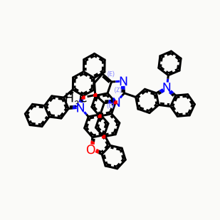 CC1C/C=C(c2ccc3ccccc3c2)/N=C(c2ccc3c4ccccc4n(-c4ccccc4)c3c2)\N=C/1c1cc2c(cc1-n1c3cc4ccccc4cc3c3cc4ccccc4cc31)oc1ccccc12